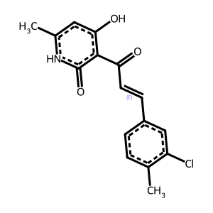 Cc1cc(O)c(C(=O)/C=C/c2ccc(C)c(Cl)c2)c(=O)[nH]1